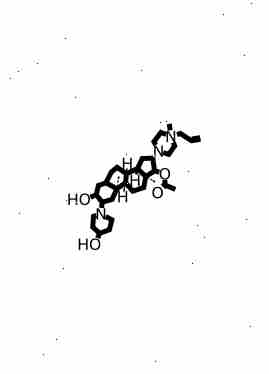 C=CC[N+]1(C)CCN(C2C[C@H]3[C@@H]4CCC5CC(O)C(N6CCC(O)CC6)C[C@]5(C)[C@@H]4CC[C@]3(C)C2OC(C)=O)CC1